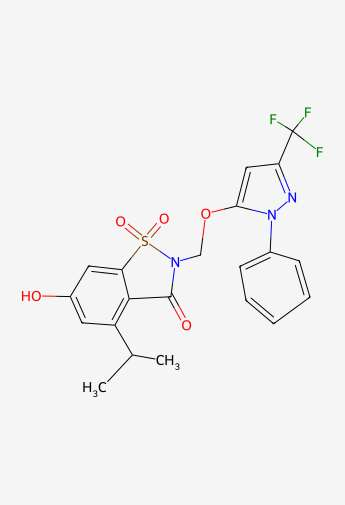 CC(C)c1cc(O)cc2c1C(=O)N(COc1cc(C(F)(F)F)nn1-c1ccccc1)S2(=O)=O